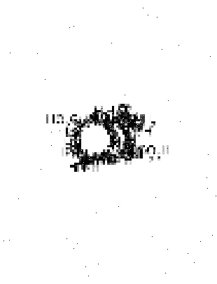 CCC[C@@H]1NC(=O)[C@H](CCC(=O)O)NC(=O)CNC(=O)[C@H](CC(C)C)NC(=O)[C@H](Cc2c[nH]cn2)NC(=O)[C@@H]2CCc3cn(nn3)CCCC[C@H](NC1=O)C(=O)N[C@@H](Cc1c[nH]c3ccccc13)C(=O)N[C@H](C(=O)N[C@H](C(N)=O)[C@@H](C)O)CSSC[C@H](NC(=O)[C@@H](N)CC(=O)O)C(=O)N[C@@H](C)C(=O)N2